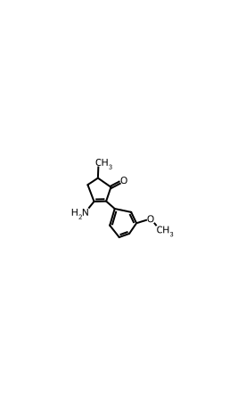 COc1cccc(C2=C(N)CC(C)C2=O)c1